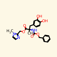 Cn1ccnc1COC(=O)C(C)(Cc1ccc(O)c(O)c1)NC(=O)OCc1ccccc1